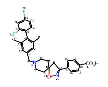 Cc1cc(CN2CCC3(CC2)CC(c2ccc(C(=O)O)cc2)=NO3)cc(C)c1-c1ccc(F)cc1F